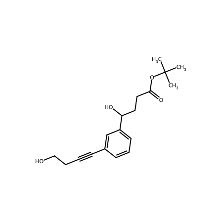 CC(C)(C)OC(=O)CCC(O)c1cccc(C#CCCO)c1